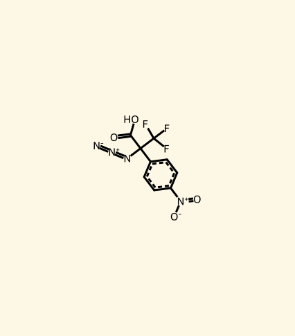 [N-]=[N+]=NC(C(=O)O)(c1ccc([N+](=O)[O-])cc1)C(F)(F)F